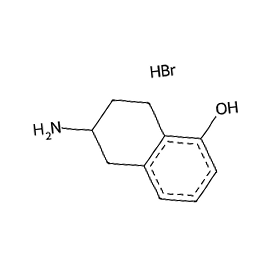 Br.NC1CCc2c(O)cccc2C1